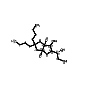 CCCCC1(CCCC)O[C@H]2O[C@H]([C@H](O)CO)[C@H](O)[C@H]2O1